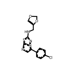 Clc1ccc(-c2cnc3sc(NCC4=COCO4)nn23)cc1